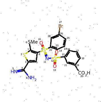 CSc1sc(C(=N)N)cc1S(=O)(=NS(=O)(=O)c1cccc(C(=O)O)c1)c1cccc(Br)c1